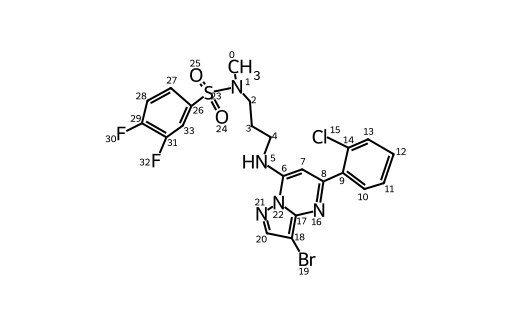 CN(CCCNc1cc(-c2ccccc2Cl)nc2c(Br)cnn12)S(=O)(=O)c1ccc(F)c(F)c1